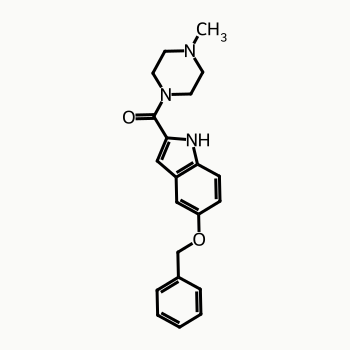 CN1CCN(C(=O)c2cc3cc(OCc4ccccc4)ccc3[nH]2)CC1